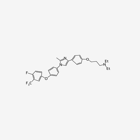 CCN(CC)CCCOc1ccc(-c2cn(-c3ccc(Oc4ccc(F)c(C(F)(F)F)c4)cc3)c(C)n2)cc1